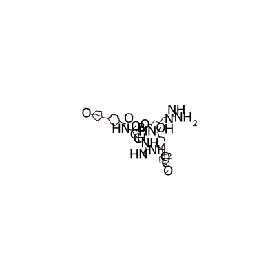 COC12CCC(c3ccc(C(=O)NC(CCCNC(=N)N)OBOC(CCCNC(=N)N)NC(=O)c4ccc(C56CCC(OC)(CC5)CC6)cc4)cc3)(CC1)CC2